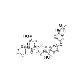 CS(=O)(=O)Nc1ccc(Oc2ccc(CN3CCC(N(CCCO)C(=O)NC4CCCCC4)CC3)cc2)cc1.Cl